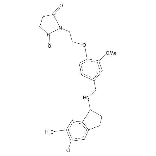 COc1cc(CNC2CCc3cc(Cl)c(C)cc32)ccc1OCCN1C(=O)CCC1=O